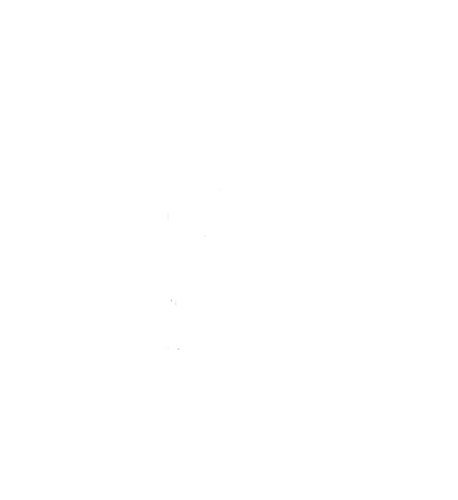 CC(C)(C)c1ccc(CC(C)(C)c2cc3ccccc3s2)[nH]1